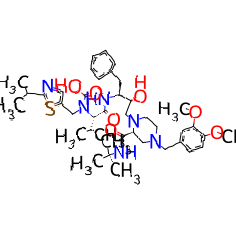 COc1ccc(CN2CCN(C[C@H](O)[C@H](Cc3ccccc3)NC(=O)[C@H](C(C)C)N(Cc3cnc(C(C)C)s3)C(=O)O)[C@H](C(=O)NC(C)(C)C)C2)cc1OC